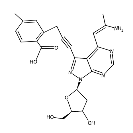 CC(N)=Cc1ncnc2c1c(C#CCc1cc(C)ccc1C(=O)O)nn2[C@H]1CC(O)[C@@H](CO)O1